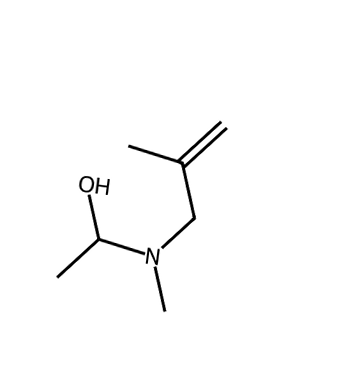 C=C(C)CN(C)C(C)O